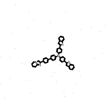 c1ccc2sc(-c3ccc(N(c4ccc(-c5ccc(-c6cn7ccccc7n6)cc5)cc4)c4ccc(-c5cc6ccccc6s5)cc4)cc3)cc2c1